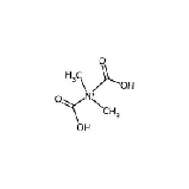 C[N+](C)(C(=O)O)C(=O)O